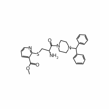 COC(=O)c1cccnc1SC[C@H](N)C(=O)N1CCN(C(c2ccccc2)c2ccccc2)CC1